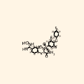 N=C(NO)c1ccc(C[C@H](C(N)=O)N(O)S(=O)(=O)c2cc(F)c(Oc3ccc(F)cc3)c(F)c2)cc1